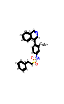 COc1cc(NS(=O)(=O)CCc2ccccc2)ccc1-c1cncc2ccccc12